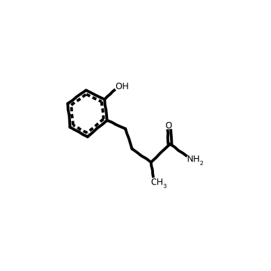 CC(CCc1ccccc1O)C(N)=O